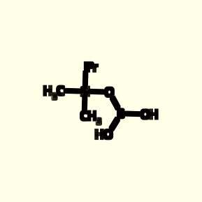 CC(C)[Si](C)(C)OB(O)O